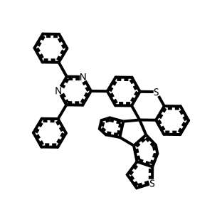 c1ccc(-c2cc(-c3ccc4c(c3)C3(c5ccccc5S4)c4ccccc4-c4c3ccc3sccc43)nc(-c3ccccc3)n2)cc1